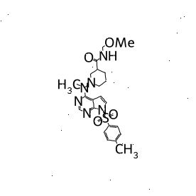 COCNC(=O)C1CCCN(N(C)c2ncnc3c2ccn3S(=O)(=O)c2ccc(C)cc2)C1